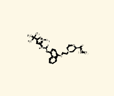 CNC(=O)C1CN(CCOc2ccc(NC(=O)Nc3cc(C(C)(C)C)nn3C)c3ccccc23)CCO1